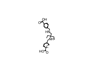 CCC(CC)(CNCc1ccc(C(=O)O)cc1)NCc1ccc(C(=O)O)cc1